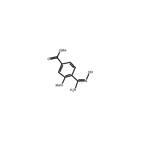 COC(=O)c1ccc(/C(N)=N\O)c(OC)c1